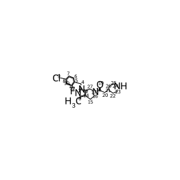 Cc1nn(Cc2ccc(Cl)cc2F)c2c1CCN(C(=O)CC1CCNCC1)C2